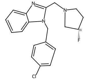 F[C@H]1CCN(Cc2nc3ccccc3n2Cc2ccc(Cl)cc2)C1